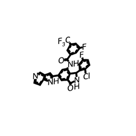 O=C(Nc1cc(-c2cc3cnccc3[nH]2)cc2c1C(c1cc(F)ccc1Cl)NC2=O)c1cc(F)cc(C(F)(F)F)c1